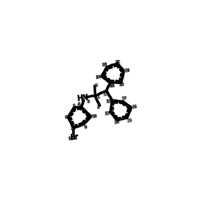 CC(C)(Nc1ccc(Br)cc1)C(c1ccccc1)c1ccccc1